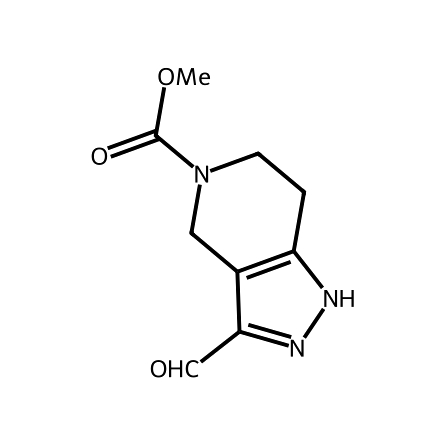 COC(=O)N1CCc2[nH]nc(C=O)c2C1